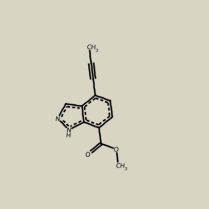 CC#Cc1ccc(C(=O)OC)c2[nH]ncc12